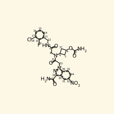 NC(=O)OC1CC(N(CC(=O)NCc2cccc(Cl)c2F)C(=O)Cn2nc(C(N)=O)c3cc([N+](=O)[O-])ccc32)C1